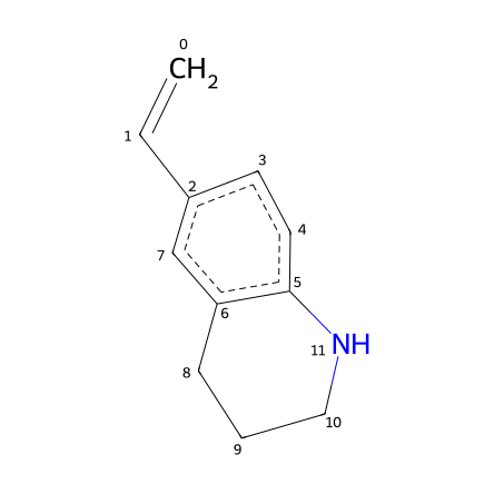 C=Cc1ccc2c(c1)CCCN2